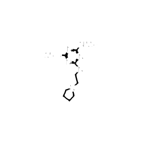 CNc1nc(NCCN2CCCC2)nc(SC)n1